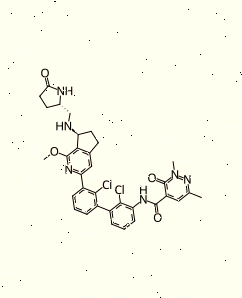 COc1nc(-c2cccc(-c3cccc(NC(=O)c4cc(C)nn(C)c4=O)c3Cl)c2Cl)cc2c1[C@@H](NC[C@@H]1CCC(=O)N1)CC2